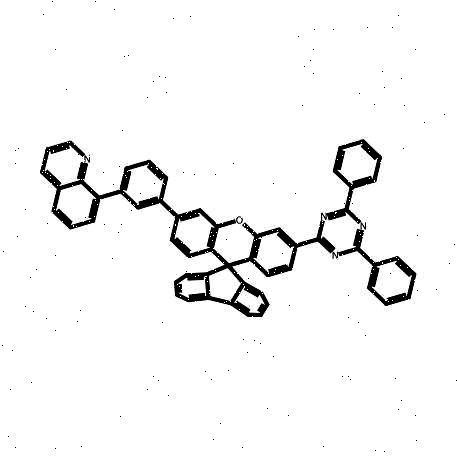 c1ccc(-c2nc(-c3ccccc3)nc(-c3ccc4c(c3)Oc3cc(-c5cccc(-c6cccc7cccnc67)c5)ccc3C43c4ccccc4-c4ccccc43)n2)cc1